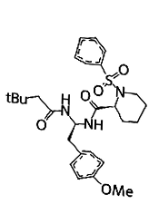 COc1ccc(C[C@@H](NC(=O)CC(C)(C)C)NC(=O)[C@@H]2CCCCN2S(=O)(=O)c2ccccc2)cc1